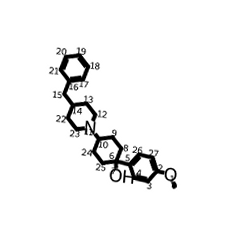 COc1ccc(C2(O)CCC(N3CCC(Cc4ccccc4)CC3)CC2)cc1